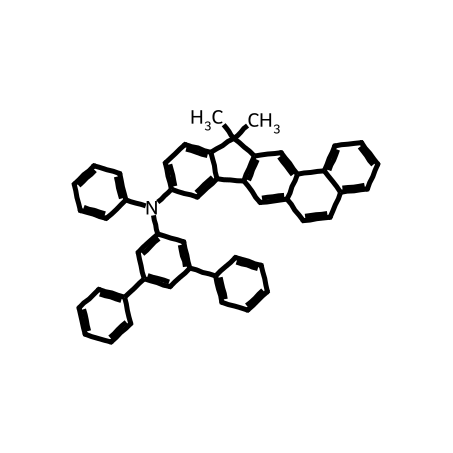 CC1(C)c2ccc(N(c3ccccc3)c3cc(-c4ccccc4)cc(-c4ccccc4)c3)cc2-c2cc3ccc4ccccc4c3cc21